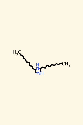 CCCCCCCCCCC1CNCC(CCCCCCCCCC)N1